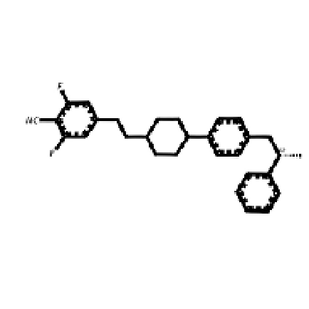 C[C@@H](Cc1ccc(C2CCC(CCc3cc(F)c(C#N)c(F)c3)CC2)cc1)c1ccccc1